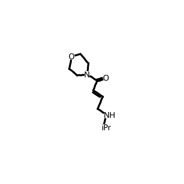 CC(C)NC/C=C/C(=O)N1CCOCC1